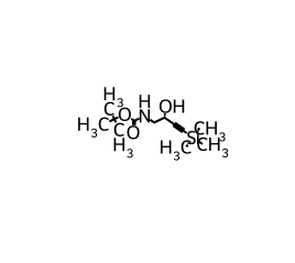 CC(C)(C)OC(=O)NC[C@@H](O)C#C[Si](C)(C)C